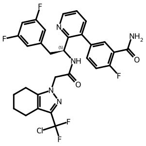 NC(=O)c1cc(-c2cccnc2[C@H](Cc2cc(F)cc(F)c2)NC(=O)Cn2nc(C(F)(F)Cl)c3c2CCCC3)ccc1F